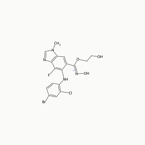 Cn1cnc2c(F)c(Nc3ccc(Br)cc3Cl)c(/C(=N/O)OCCO)cc21